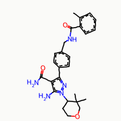 Cc1ccccc1C(=O)NCc1ccc(-c2nn(C3CCOCC3(C)C)c(N)c2C(N)=O)cc1